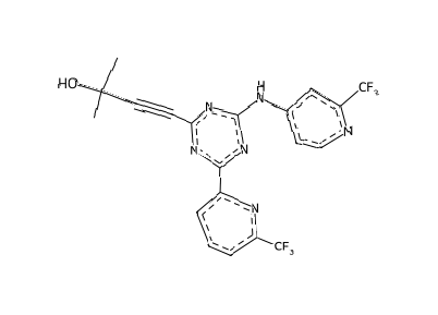 CC(C)(O)C#Cc1nc(Nc2ccnc(C(F)(F)F)c2)nc(-c2cccc(C(F)(F)F)n2)n1